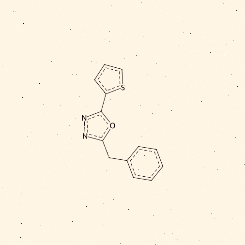 c1ccc(Cc2nnc(-c3cccs3)o2)cc1